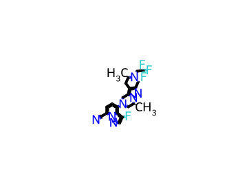 C[C@@H]1CN(c2ccc(C#N)n3ncc(F)c23)Cc2c3c(nn21)CN(CC(F)(F)F)[C@@H](C)C3